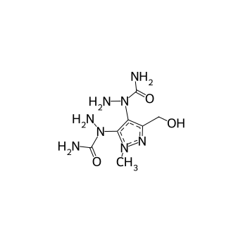 Cn1nc(CO)c(N(N)C(N)=O)c1N(N)C(N)=O